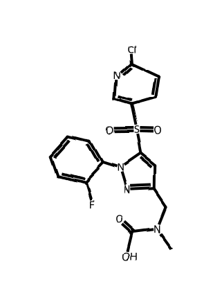 CN(Cc1cc(S(=O)(=O)c2ccc(Cl)nc2)n(-c2ccccc2F)n1)C(=O)O